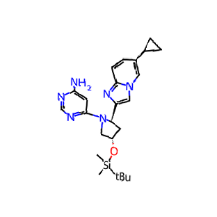 CC(C)(C)[Si](C)(C)O[C@H]1C[C@H](c2cn3cc(C4CC4)ccc3n2)N(c2cc(N)ncn2)C1